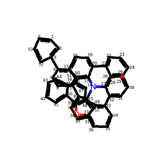 c1ccc(-c2ccc(-c3ccccc3N(c3ccccc3-c3ccccc3)c3ccccc3-c3cccc4oc5c6ccccc6ccc5c34)cc2)cc1